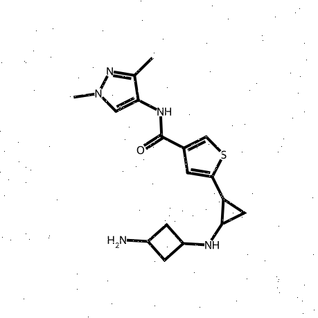 Cc1nn(C)cc1NC(=O)c1csc(C2CC2NC2CC(N)C2)c1